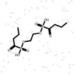 CCCC(=O)P(=O)(O)OCCOP(=O)(O)C(=O)CCC